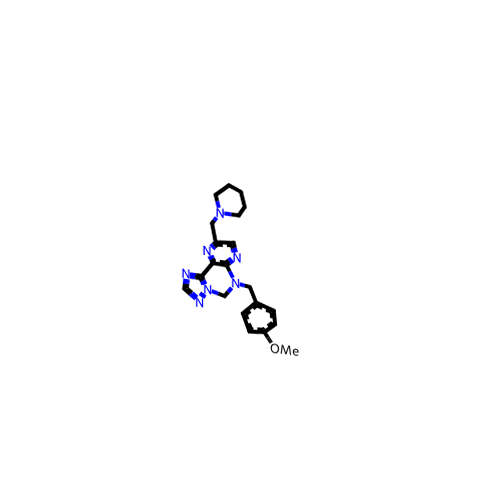 COc1ccc(CN2Cn3ncnc3-c3nc(CN4CCCCC4)cnc32)cc1